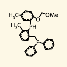 COCOc1ccc(C)cc1Pc1c(C)cccc1CP(c1ccccc1)c1ccccc1